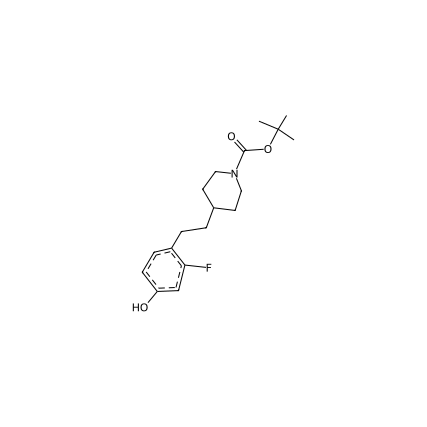 CC(C)(C)OC(=O)N1CCC(CCc2ccc(O)cc2F)CC1